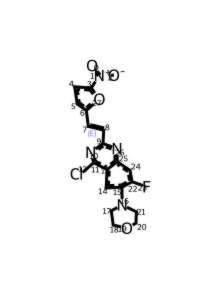 O=[N+]([O-])c1ccc(/C=C/c2nc(Cl)c3cc(N4CCOCC4)c(F)cc3n2)o1